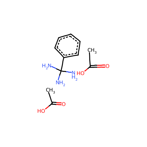 CC(=O)O.CC(=O)O.NC(N)(N)c1ccccc1